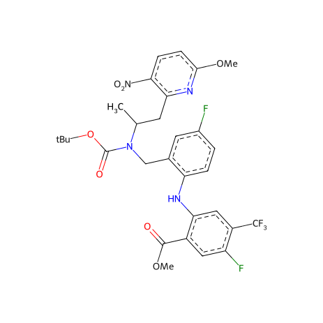 COC(=O)c1cc(F)c(C(F)(F)F)cc1Nc1ccc(F)cc1CN(C(=O)OC(C)(C)C)C(C)Cc1nc(OC)ccc1[N+](=O)[O-]